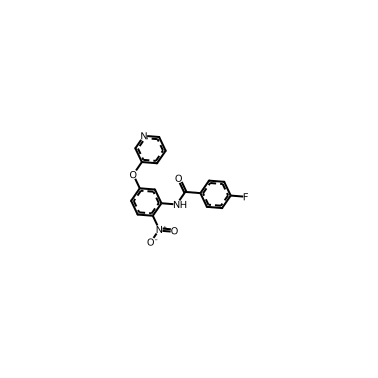 O=C(Nc1cc(Oc2cccnc2)ccc1[N+](=O)[O-])c1ccc(F)cc1